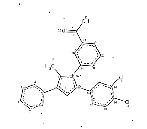 Cc1c(-c2ccccc2)cc(-c2ccc(Cl)c(Cl)c2)n1-c1cccc(C(=O)O)c1